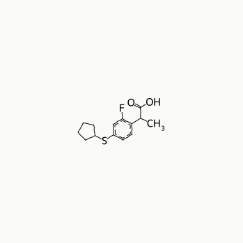 CC(C(=O)O)c1ccc(SC2CCCC2)cc1F